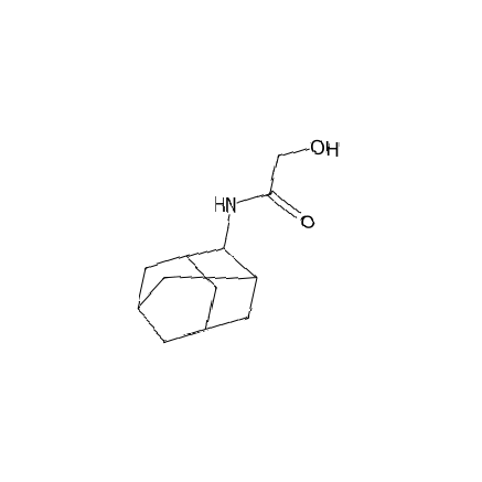 O=C(CO)NC1C2CC3CC(C2)CC1C3